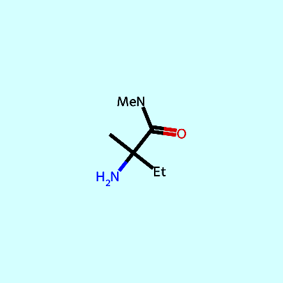 CCC(C)(N)C(=O)NC